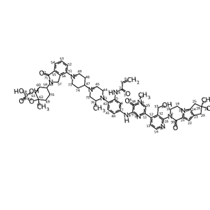 C=CC(=O)Nc1cc(Nc2nc(-c3ccnc(N4CCn5c(cc6c5CC(C)(C)C6)C4=O)c3CO)cn(C)c2=O)ccc1N1CCN(C2CCN(c3cccc4c3CN(C3CCC(C)(OP(=O)(O)O)CC3)C4=O)CC2)C[C@@H]1C